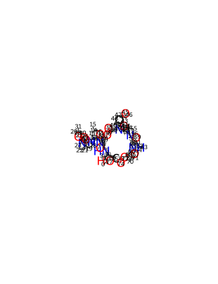 CC[C@H](C)[C@H]1NC(=O)[C@@H](NC(=O)[C@@H](CC(C)C)N2CCC3(CCCN3C(=O)OC(C)(C)C)C2=O)[C@@H](C)OC(=O)[C@H](Cc2ccc(OC)cc2)N(C)C(=O)[C@@H]2CCCN2C(=O)[C@H](CC(C)C)NC(=O)[C@H](C(C)C)OC(=O)C[C@@H]1O